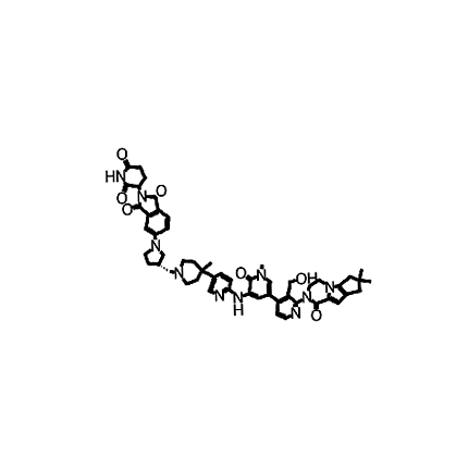 Cn1cc(-c2ccnc(N3CCn4c(cc5c4CC(C)(C)C5)C3=O)c2CO)cc(Nc2ccc(C3(C)CCN(C[C@@H]4CCN(c5ccc6c(c5)C(=O)N(C5CCC(=O)NC5=O)C6=O)C4)CC3)cn2)c1=O